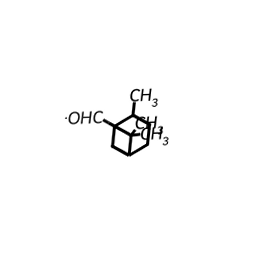 CC1CCC2CC1([C]=O)C2(C)C